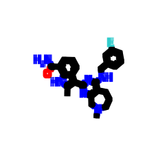 Cc1[nH]c2c(C(N)=O)cccc2c1-c1nc2c(c(NCc3cccc(F)c3)n1)CCCN(C)C2